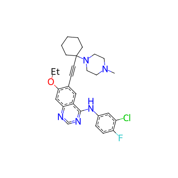 CCOc1cc2ncnc(Nc3ccc(F)c(Cl)c3)c2cc1C#CC1(N2CCN(C)CC2)CCCCC1